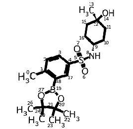 Cc1ccc(S(=O)(=O)N[C@H]2CC[C@@](C)(O)CC2)cc1B1OC(C)(C)C(C)(C)O1